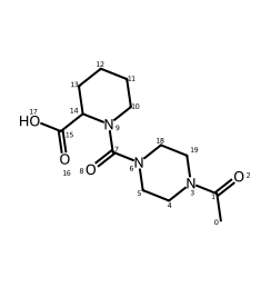 CC(=O)N1CCN(C(=O)N2CCCCC2C(=O)O)CC1